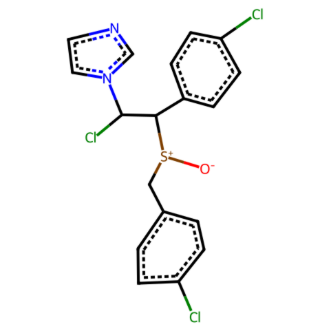 [O-][S+](Cc1ccc(Cl)cc1)C(c1ccc(Cl)cc1)C(Cl)n1ccnc1